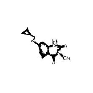 Cn1c(=O)[nH]c2cc(NCC3CC3)ccc2c1=O